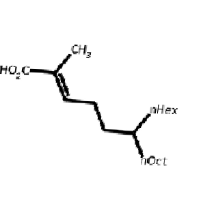 CCCCCCCCC(CCC=C(C)C(=O)O)CCCCCC